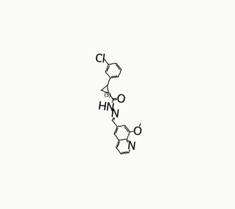 COc1cc(C=NNC(=O)[C@H]2CC2c2cccc(Cl)c2)cc2cccnc12